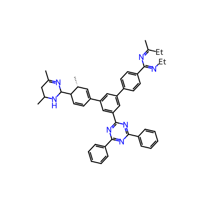 CC/N=C(\N=C(\C)CC)c1ccc(-c2cc(C3=C[C@@H](C)C(C4N=C(C)CC(C)N4)C=C3)cc(-c3nc(-c4ccccc4)nc(-c4ccccc4)n3)c2)cc1